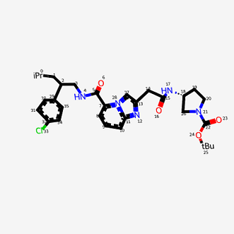 CC(C)CC(CNC(=O)c1cccc2nc(CC(=O)N[C@@H]3CCN(C(=O)OC(C)(C)C)C3)cn12)c1ccc(Cl)cc1